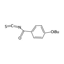 CC(C)COc1ccc(C(=O)N=C=S)cc1